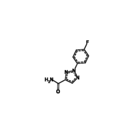 NC(=O)c1cnn(-c2ccc(F)cc2)n1